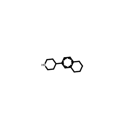 c1cc2c(cc1C1CCNCC1)CCCC2